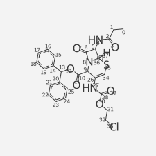 CCC(=O)NC1C(=O)N2C(C(=O)OC(c3ccccc3)c3ccccc3)C(NC(=O)OCCCl)=CS[C@@H]12